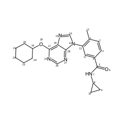 Cc1ccc(C(=O)NC2CC2)cc1-n1cnc2c(OC3CCCCC3)ncnc21